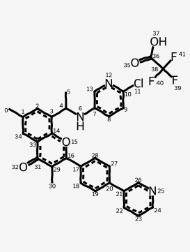 Cc1cc(C(C)Nc2ccc(Cl)nc2)c2oc(-c3ccc(-c4cccnc4)cc3)c(C)c(=O)c2c1.O=C(O)C(F)(F)F